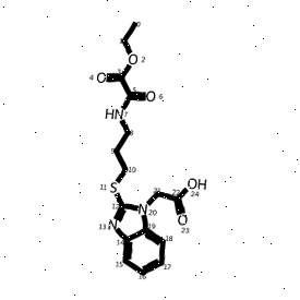 CCOC(=O)C(=O)NCCCSc1nc2ccccc2n1CC(=O)O